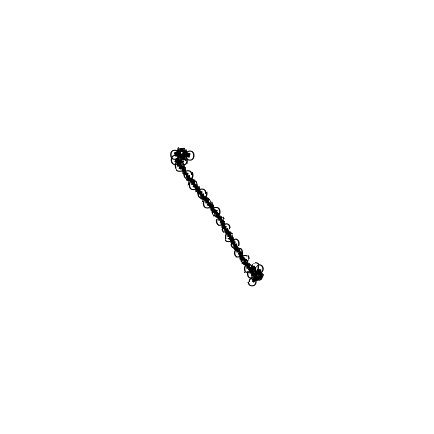 O=C(OCCOCCOCCOCCOCCOCCOCCOCCOCCOCCOCCOCCOC(=O)ON1C(=O)CCC1=O)ON1C(=O)CCC1=O